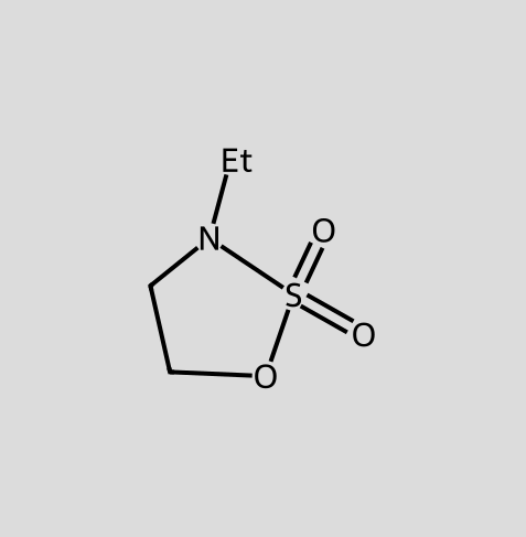 CCN1CCOS1(=O)=O